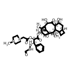 CC1=C2[C@@H](O)C(=O)[C@@]3(C)[C@H]([C@H](C)[C@](O)(C[C@@H]1OC(=O)[C@H](OC(=O)CN1CCN(C)CC1)[C@@H](NBC=O)c1ccccc1)C2(C)C)[C@]1(C)CC[C@@H]1C[C@@H]3O